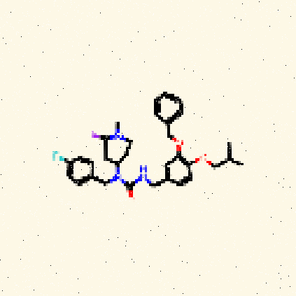 CC(C)COc1ccc(CNC(=O)N(Cc2ccc(F)cc2)C2CCN(C)C(I)C2)cc1OCc1ccccc1